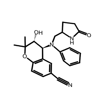 CC1(C)Oc2ccc(C#N)cc2[C@H](N(CC2CCC(=O)N2)c2ccccc2)[C@H]1O